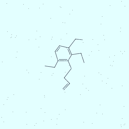 C=CCCc1c(CC)ccc(CC)c1CC